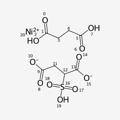 O=C(O)CCC(=O)O.O=C([O-])CC(C(=O)[O-])S(=O)(=O)O.[Ni+2]